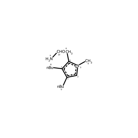 CCCCc1cn(C)c(C)c1CCCC.NC=O